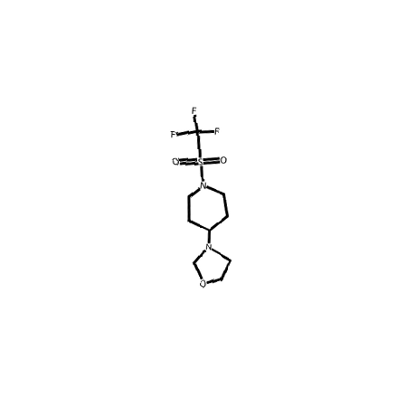 O=S(=O)(N1CCC(N2CCOC2)CC1)C(F)(F)F